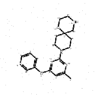 Cc1cc(Oc2cccnc2)nc(N2CCC3(CC2)CNCCO3)n1